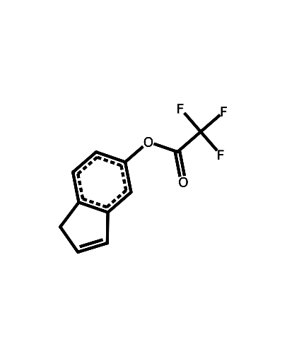 O=C(Oc1ccc2c(c1)C=CC2)C(F)(F)F